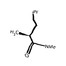 CNC(=O)[C@@H](C)CC(C)C